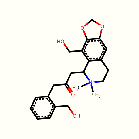 C[N+]1(C)CCc2cc3c(c(CO)c2C1CC(=O)Cc1ccccc1CO)OCO3